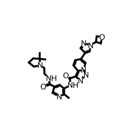 Cc1ncc(C(=O)NCCN2CCCC2(C)C)cc1NC(=O)c1nnn2cc(-c3cnn(C4COC4)c3)ccc12